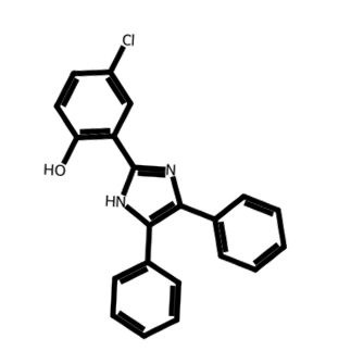 Oc1ccc(Cl)cc1-c1nc(-c2ccccc2)c(-c2ccccc2)[nH]1